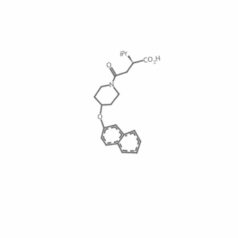 CC(C)[C@H](CC(=O)N1CCC(Oc2ccc3ccccc3c2)CC1)C(=O)O